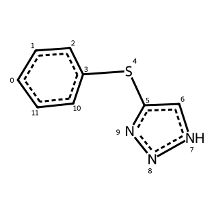 c1ccc(Sc2c[nH]nn2)cc1